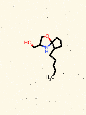 CCCCCC1CCCC12NC(CO)CO2